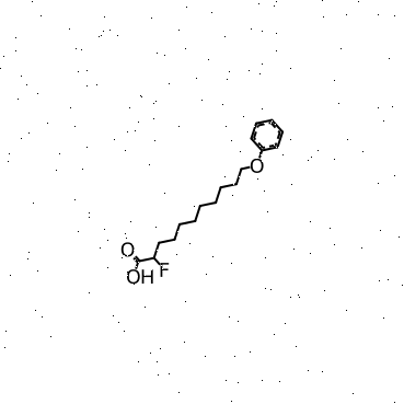 O=C(O)C(F)CCCCCCCCCOc1ccccc1